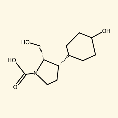 O=C(O)N1CC[C@@H](C2CCC(O)CC2)[C@H]1CO